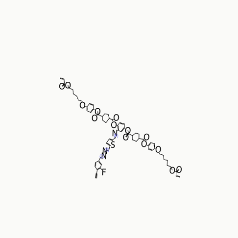 C#Cc1ccc(/C=N/N=C/c2ccc(/C=N/c3cc(OC(=O)C4CCC(C(=O)Oc5ccc(OCCCCCCOC(=O)C=C)cc5)CC4)ccc3OC(=O)C3CCC(C(=O)Oc4ccc(OCCCCCCOC(=O)C=C)cc4)CC3)s2)cc1F